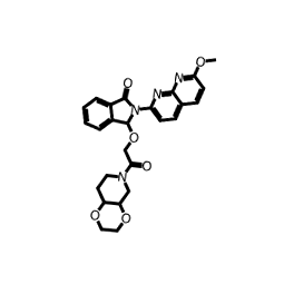 COc1ccc2ccc(N3C(=O)c4ccccc4C3OCC(=O)N3CCC4OCCOC4C3)nc2n1